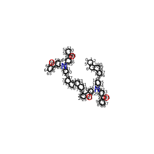 c1ccc2c(c1)ccc1c3cc(-c4ccc(N(c5ccc6c(c5)oc5cccc(-c7ccc8ccc9c%10cc(-c%11ccc(N(c%12ccc%13oc%14ccccc%14c%13c%12)c%12ccc%13oc%14ccccc%14c%13c%12)cc%11)ccc%10ccc9c8c7)c56)c5ccc6oc7ccccc7c6c5)cc4)ccc3ccc21